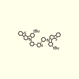 CC(C)(C)c1ccc2c(c1)c1c3sc4ccccc4c3ccc1n2-c1cccc(-c2ccnc(-c3cccc(-n4c5ccc(C(C)(C)C)cc5c5c6sc7ccccc7c6ccc54)c3)c2)c1